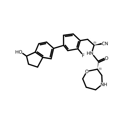 N#C[C@H](Cc1ccc(-c2ccc3c(c2)CCC3O)cc1F)NC(=O)[C@@H]1CNCCCO1